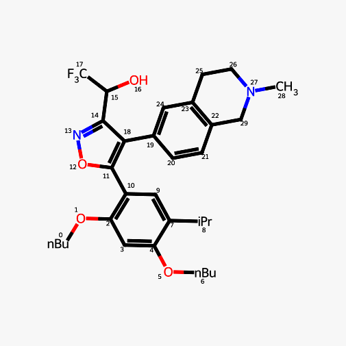 CCCCOc1cc(OCCCC)c(C(C)C)cc1-c1onc(C(O)C(F)(F)F)c1-c1ccc2c(c1)CCN(C)C2